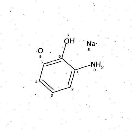 Nc1ccccc1O.[Na].[O]